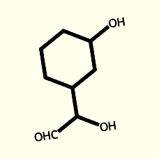 O=CC(O)C1CCCC(O)C1